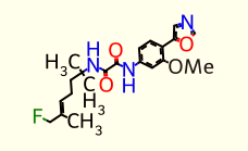 COc1cc(NC(=O)C(=O)NC(C)(C)CC/C=C(\C)CF)ccc1-c1cnco1